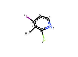 CC(=O)c1c(I)ccnc1F